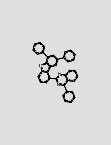 c1ccc(-c2cc(-c3ccccc3)c3oc4cccc(-c5nc(-c6ccccc6)c6ccccc6n5)c4c3c2)cc1